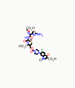 CCn1cc(C(=O)O)c(=O)c2cc(F)c(N3CCN(C(=O)OCC4=C(C(=O)O)N5C(=O)C(NC(=O)C(=NOCC(=O)O)c6csc(N)n6)[C@H]5SC4)CC3)cc21